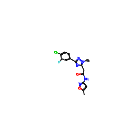 CCn1nc(-c2ccc(Cl)c(F)c2)nc1CC(=O)Nc1cc(C)on1